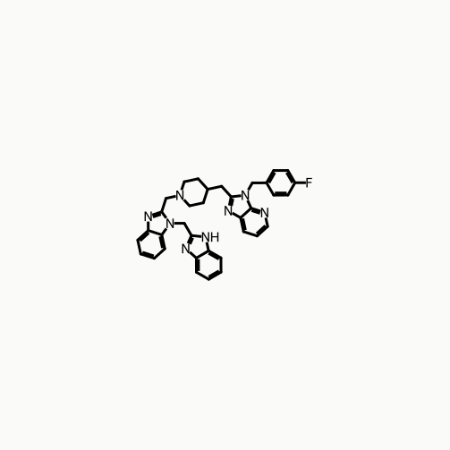 Fc1ccc(Cn2c(CC3CCN(Cc4nc5ccccc5n4Cc4nc5ccccc5[nH]4)CC3)nc3cccnc32)cc1